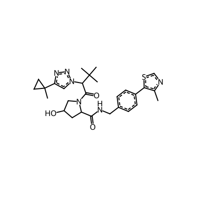 Cc1ncsc1-c1ccc(CNC(=O)C2CC(O)CN2C(=O)C(n2cc(C3(C)CC3)nn2)C(C)(C)C)cc1